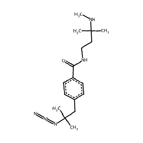 CNC(C)(C)CCNC(=O)c1ccc(CC(C)(C)N=[N+]=[N-])cc1